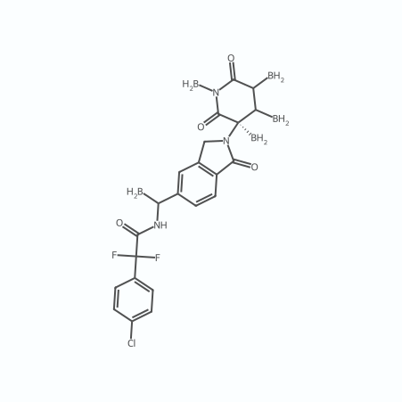 BC(NC(=O)C(F)(F)c1ccc(Cl)cc1)c1ccc2c(c1)CN([C@@]1(B)C(=O)N(B)C(=O)C(B)C1B)C2=O